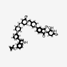 CC1(Oc2ccc3[nH]nc(-c4cc(N5CCN(C[C@@H]6CCN(CC7CCN(c8ccc9c(c8)C(=O)N(C8CCC(=O)NC8O)C9=O)CC7)C(=O)C6)CC5)ncn4)c3c2)CC1